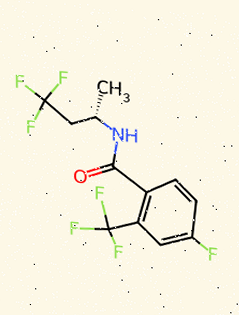 C[C@@H](CC(F)(F)F)NC(=O)c1ccc(F)cc1C(F)(F)F